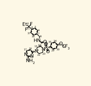 CCC(F)(F)c1ccc(CNC(=O)[C@H]2CN(c3ccnc(N)n3)CCN2S(=O)(=O)c2ccc(OC(F)(F)F)cc2)cc1